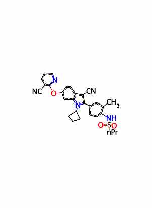 CCCS(=O)(=O)Nc1ccc(-c2c(C#N)c3ccc(Oc4ncccc4C#N)cc3n2C2CCC2)cc1C